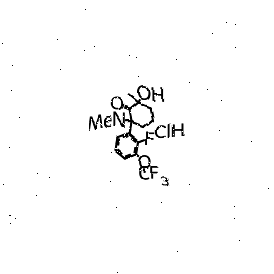 CNC1(c2cccc(OC(F)(F)F)c2F)CCCC(C)(O)C1=O.Cl